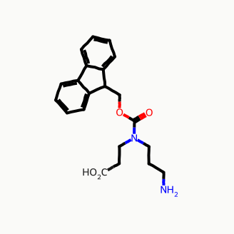 NCCCN(CCC(=O)O)C(=O)OCC1c2ccccc2-c2ccccc21